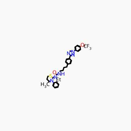 CCc1ccccc1N1/C(=N/C(=O)NCCCCc2ccc(-c3ncn(-c4ccc(OC(F)(F)F)cc4)n3)cc2)SCCC1C